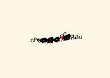 CCCCOc1ccc(C(=O)OC2CCC(c3ccc(-c4ccc(OCCC)cc4)c(F)c3F)CC2)c(F)c1